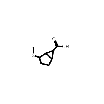 CSC1CCC2C(C(=O)O)C12